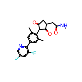 CNC(=O)CC1CC(=O)C(c2c(C)cc(-c3ncc(F)cc3F)cc2C)C1=O